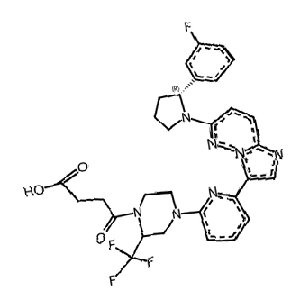 O=C(O)CCC(=O)N1CCN(c2cccc(-c3cnc4ccc(N5CCC[C@@H]5c5cccc(F)c5)nn34)n2)CC1C(F)(F)F